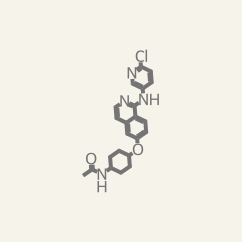 CC(=O)NC1CCC(Oc2ccc3c(Nc4ccc(Cl)nc4)nccc3c2)CC1